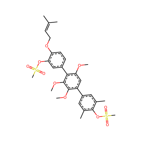 COc1cc(-c2cc(C)c(OS(C)(=O)=O)c(C)c2)c(OC)c(OC)c1-c1ccc(OCC=C(C)C)c(OS(C)(=O)=O)c1